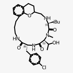 CCC(C)[C@@H]1NCC2CCc3cccc(c3O2)CCCNC(=O)[C@@H](Cc2ccc(Cl)cc2)NC(=O)[C@H](C(C)O)N(C)C1=O